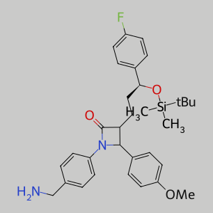 COc1ccc(C2C(CC[C@H](O[Si](C)(C)C(C)(C)C)c3ccc(F)cc3)C(=O)N2c2ccc(CN)cc2)cc1